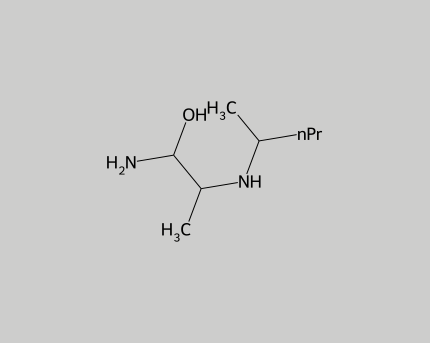 CCCC(C)NC(C)C(N)O